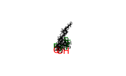 CCCCCC1CCC(CCc2ccc(-c3cc(F)c(C(=O)O)c(F)c3-c3cc(F)c(F)c(F)c3)cc2)CC1